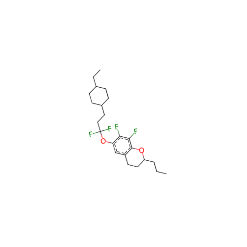 CCCC1CCc2cc(OC(F)(F)CCC3CCC(CC)CC3)c(F)c(F)c2O1